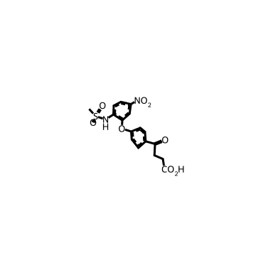 CS(=O)(=O)Nc1ccc([N+](=O)[O-])cc1Oc1ccc(C(=O)CCC(=O)O)cc1